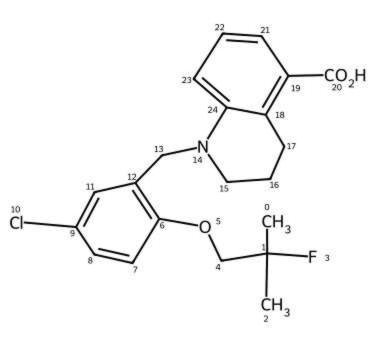 CC(C)(F)COc1ccc(Cl)cc1CN1CCCc2c(C(=O)O)cccc21